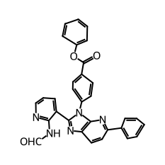 O=CNc1ncccc1-c1nc2ccc(-c3ccccc3)nc2n1-c1ccc(C(=O)Oc2ccccc2)cc1